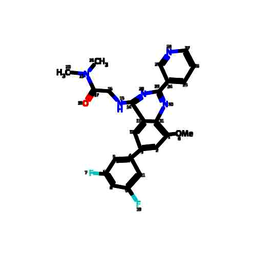 COc1cc(-c2cc(F)cc(F)c2)cc2c(NCC(=O)N(C)C)nc(-c3cccnc3)nc12